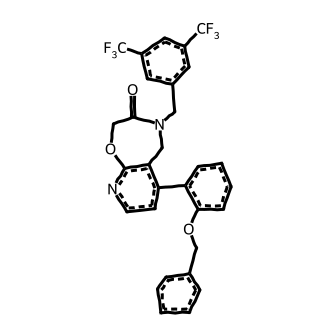 O=C1COc2nccc(-c3ccccc3OCc3ccccc3)c2CN1Cc1cc(C(F)(F)F)cc(C(F)(F)F)c1